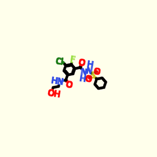 O=C(NCCO)c1cc(Cl)c(F)c(C(=O)NNS(=O)(=O)C2CCCCC2)c1